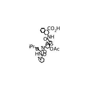 CC(=O)O[C@H](C[C@H](C(C)C)N(C)C(=O)[C@@H](NC(=O)[C@H]1CCCCN1C)C12CC(C(C)C)(C1)C2)c1nc(C(=O)N[C@@H](Cc2ccccc2)C[C@H](C)C(=O)O)cs1